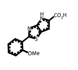 COc1ccccc1-c1nc2[nH]c(C(=O)O)cc2s1